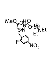 CCN(CC)CC.COC(=O)CS(Cc1ccc([N+](=O)[O-])cc1F)=NNC(=O)OC(C)(C)C